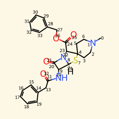 CN1CCC2(CC1)S[C@H]1C(NC(=O)Cc3ccccc3)C(=O)N1C2C(=O)OCc1ccccc1